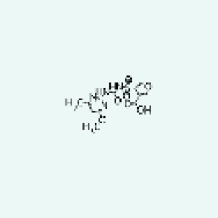 COc1cc(C)nc(NC(=O)NS(=O)(=O)c2cocc2C(=O)O)n1